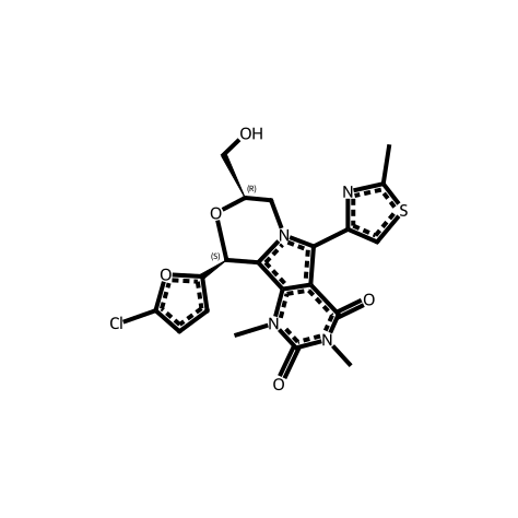 Cc1nc(-c2c3c(=O)n(C)c(=O)n(C)c3c3n2C[C@H](CO)O[C@@H]3c2ccc(Cl)o2)cs1